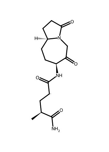 C[C@@H](C[CH]C(=O)N[C@H]1CC[C@H]2CCC(=O)N2CC1=O)C(N)=O